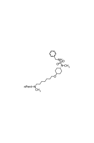 CCCCCN(C)CCCCCCCO[C@H]1CC[C@H](N(C)S(=O)(=O)NCc2ccccc2)CC1